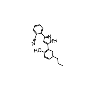 CCCc1ccc(O)c(-c2cc(-c3ccccc3C#N)n[nH]2)c1